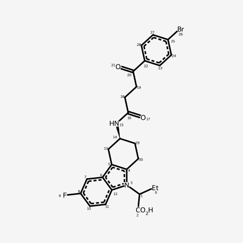 CCC(C(=O)O)n1c2c(c3cc(F)ccc31)C[C@@H](NC(=O)CCC(=O)c1ccc(Br)cc1)CC2